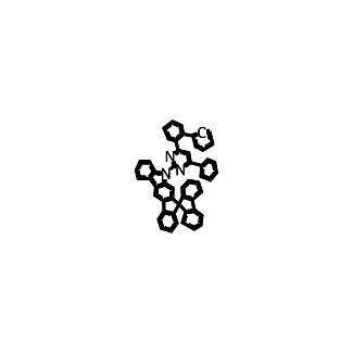 c1ccc(-c2cc(-c3ccccc3-c3ccccc3)nc(-n3c4ccccc4c4cc5c(cc43)C3(c4ccccc4-c4ccccc43)c3ccccc3-5)n2)cc1